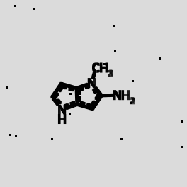 Cn1c(N)cc2[nH]ccc21